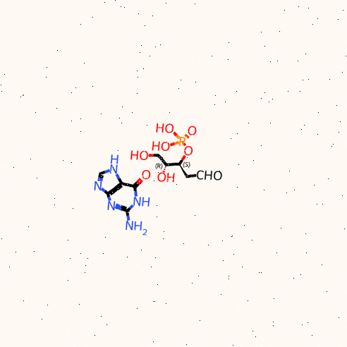 Nc1nc2nc[nH]c2c(=O)[nH]1.O=CC[C@H](OP(=O)(O)O)[C@H](O)CO